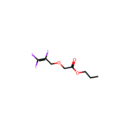 CCCOC(=O)COCC(I)=C(I)I